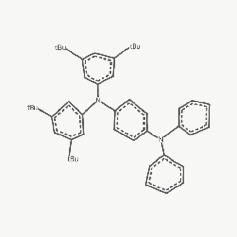 CC(C)(C)c1cc(N(c2ccc(N(c3ccccc3)c3ccccc3)cc2)c2cc(C(C)(C)C)cc(C(C)(C)C)c2)cc(C(C)(C)C)c1